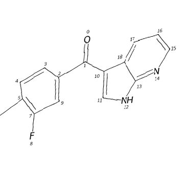 O=C(c1ccc(Cl)c(F)c1)c1c[nH]c2ncccc12